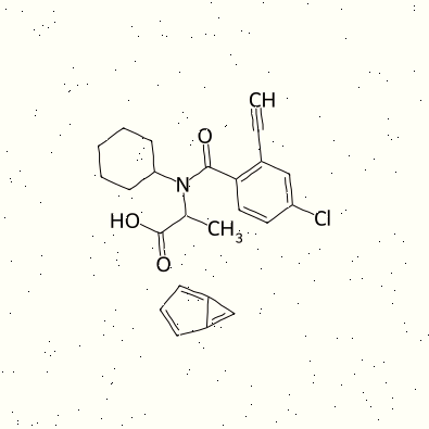 C#Cc1cc(Cl)ccc1C(=O)N(C1CCCCC1)C(C)C(=O)O.c1cc2cc-2c1